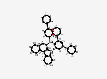 c1ccc(-c2ccc(N(c3ccc(-c4ccccc4)cc3-c3ccccc3)c3cc4ccccc4c4c3oc3ccccc34)cc2)cc1